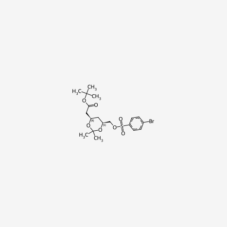 CC(C)(C)OC(=O)C[C@H]1C[C@@H](COS(=O)(=O)c2ccc(Br)cc2)OC(C)(C)O1